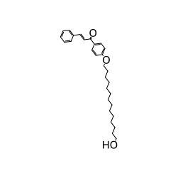 O=C(C=Cc1ccccc1)c1ccc(OCCCCCCCCCCCCCCO)cc1